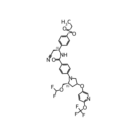 CCS(=O)(=O)c1ccc([C@H](CC#N)NC(=O)c2ccc(N3CC(Oc4ccc(OC(F)(F)F)nc4)C[C@H]3COC(F)F)cc2)cc1